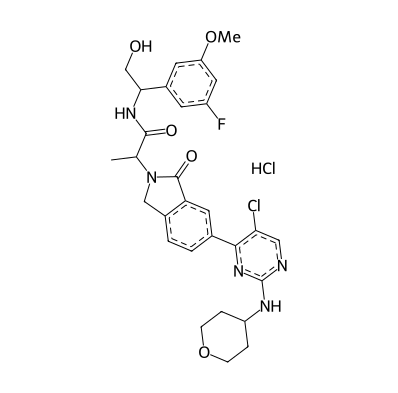 COc1cc(F)cc(C(CO)NC(=O)C(C)N2Cc3ccc(-c4nc(NC5CCOCC5)ncc4Cl)cc3C2=O)c1.Cl